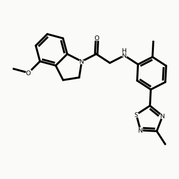 COc1cccc2c1CCN2C(=O)CNc1cc(-c2nc(C)ns2)ccc1C